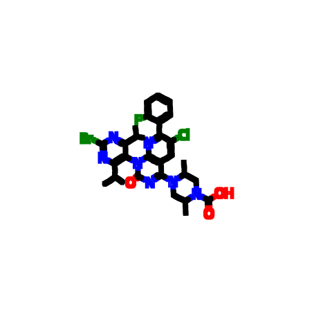 CC(C)c1nc(Br)nc(C(C)C)c1-n1c(=O)nc(N2CC(C)N(C(=O)O)CC2C)c2cc(Cl)c(-c3ccccc3F)nc21